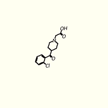 O=C(O)CN1CCC(C(=O)c2ccccc2Cl)CC1